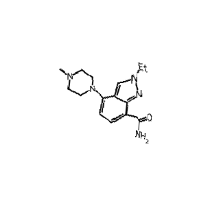 CCn1cc2c(N3CCN(C)CC3)ccc(C(N)=O)c2n1